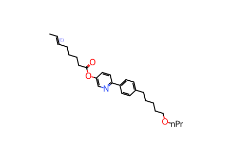 C/C=C/CCCCC(=O)Oc1ccc(-c2ccc(CCCCCOCCC)cc2)nc1